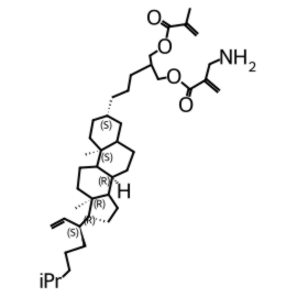 C=C[C@H](CCCC(C)C)[C@H]1CCC2[C@@H]3CCC4C[C@@H](CCCC(COC(=O)C(=C)C)COC(=O)C(=C)CN)CC[C@]4(C)C3CC[C@@]21C